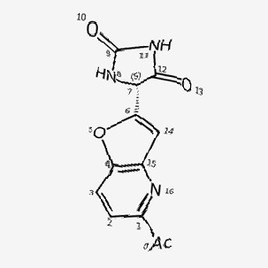 CC(=O)c1ccc2oc([C@@H]3NC(=O)NC3=O)cc2n1